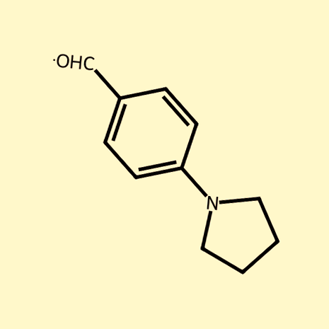 O=[C]c1ccc(N2CCCC2)cc1